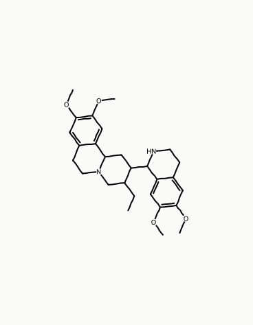 CCC1CN2CCc3cc(OC)c(OC)cc3C2CC1C1NCCc2cc(OC)c(OC)cc21